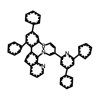 C1=CC(c2cc(-c3ccccc3)cc(-c3ccccc3)n2)=CN2B1c1cc(-c3ccccc3)cc(-c3ccccc3)c1-c1ccc3cccnc3c12